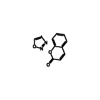 O=c1ccc2ccccc2o1.[c]1conn1